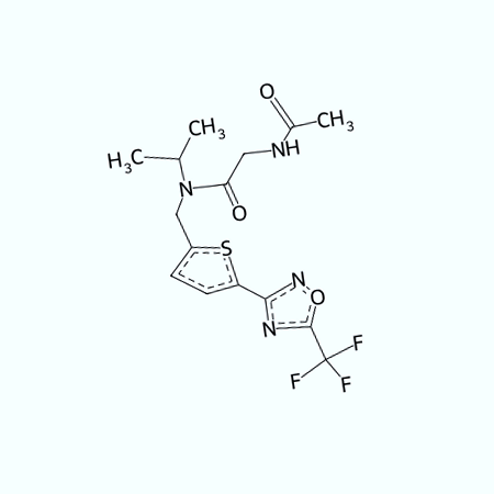 CC(=O)NCC(=O)N(Cc1ccc(-c2noc(C(F)(F)F)n2)s1)C(C)C